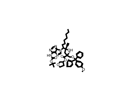 C#CC(O)(CC(F)(COC(c1ccccc1)(c1ccccc1)c1ccc(OC)cc1)C(=O)OC1CCOC1)C(CCCCCCC)n1cnc2c(NC(=O)OC(C)(C)C)ncnc21